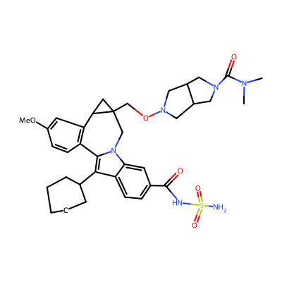 COc1ccc2c(c1)C1CC1(CON1CC3CN(C(=O)N(C)C)CC3C1)Cn1c-2c(C2CCCCC2)c2ccc(C(=O)NS(N)(=O)=O)cc21